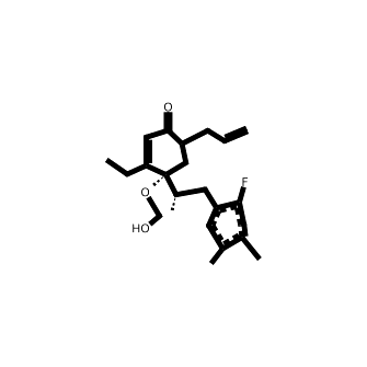 C=CCC1C[C@@](OCO)([C@@H](C)Cc2cc(C)c(C)cc2F)C(CC)=CC1=O